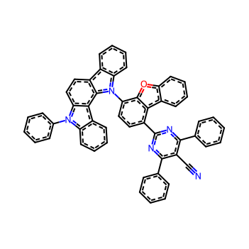 N#Cc1c(-c2ccccc2)nc(-c2ccc(-n3c4ccccc4c4ccc5c(c6ccccc6n5-c5ccccc5)c43)c3oc4ccccc4c23)nc1-c1ccccc1